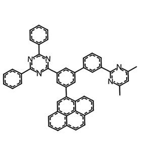 Cc1cc(C)nc(-c2cccc(-c3cc(-c4nc(-c5ccccc5)nc(-c5ccccc5)n4)cc(-c4cc5cccc6ccc7cccc4c7c65)c3)c2)n1